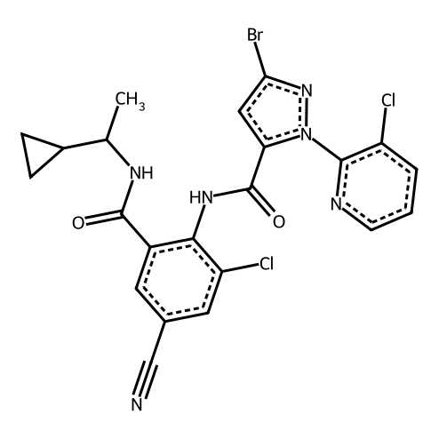 CC(NC(=O)c1cc(C#N)cc(Cl)c1NC(=O)c1cc(Br)nn1-c1ncccc1Cl)C1CC1